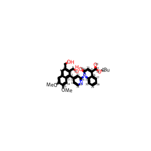 COc1cc2cc(CO)c(CO)c(-c3ccnc(-n4c(=O)cc(C(=O)OC(C)(C)C)c5ccccc54)c3)c2cc1OC